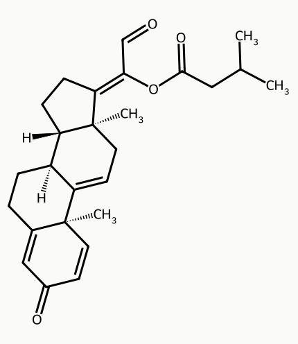 CC(C)CC(=O)OC(C=O)=C1CC[C@H]2[C@@H]3CCC4=CC(=O)C=C[C@]4(C)C3=CC[C@]12C